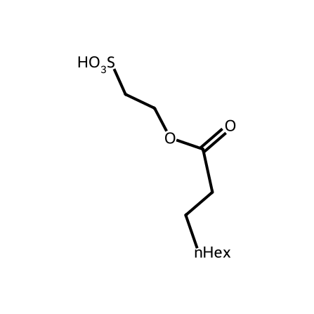 CCCCCCCCC(=O)OCCS(=O)(=O)O